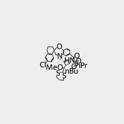 CCCC[C@@](OC)(C1SCCCS1)[C@@H]1CC[C@H]1CN1C[C@@]2(CCCc3cc(Cl)ccc32)COc2ccc(C(=O)NS(=O)(=O)C(C)C)cc21